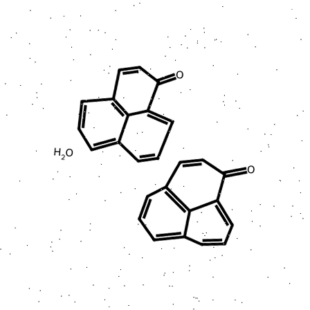 O.O=C1C=Cc2cccc3cccc1c23.O=C1C=Cc2cccc3cccc1c23